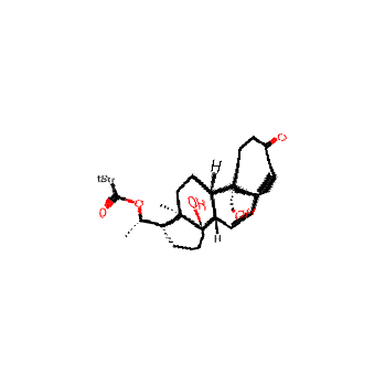 C[C@H](OC(=O)C(C)(C)C)[C@H]1CC[C@@]2(O)[C@H]3C=CC4=CC(=O)CC[C@]4(CO)[C@H]3CC[C@]12C